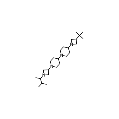 CC(C)C(C)N1CC(N2CCC(N3CCC(N4CC(C(C)(C)C)C4)CC3)CC2)C1